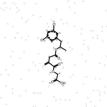 C=C(CC(=O)OC(C)Cc1cc(Cl)cc(Cl)c1)C(=O)OCC(=O)O